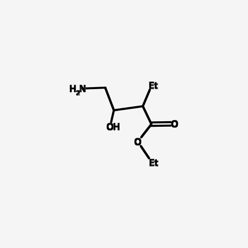 CCOC(=O)C(CC)C(O)CN